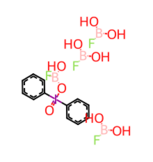 O=I(OB(O)F)(c1ccccc1)c1ccccc1.OB(O)F.OB(O)F.OB(O)F